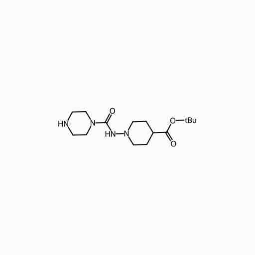 CC(C)(C)OC(=O)C1CCN(NC(=O)N2CCNCC2)CC1